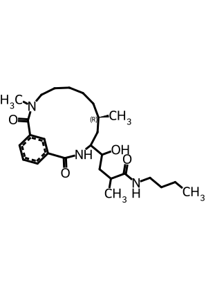 CCCCNC(=O)C(C)CC(O)C1C[C@H](C)CCCCCN(C)C(=O)c2cccc(c2)C(=O)N1